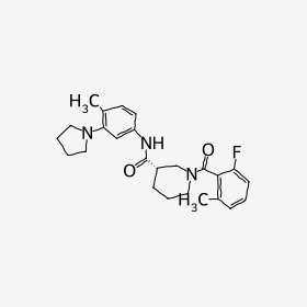 Cc1ccc(NC(=O)[C@H]2CCCN(C(=O)c3c(C)cccc3F)C2)cc1N1CCCC1